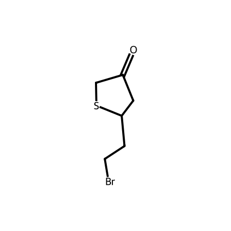 O=C1CSC(CCBr)C1